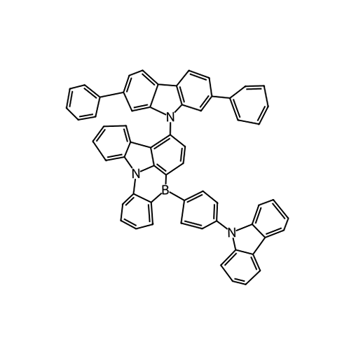 c1ccc(-c2ccc3c4ccc(-c5ccccc5)cc4n(-c4ccc5c6c4c4ccccc4n6-c4ccccc4B5c4ccc(-n5c6ccccc6c6ccccc65)cc4)c3c2)cc1